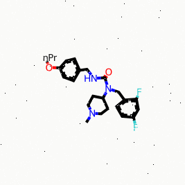 CCCOc1ccc(CNC(=O)N(Cc2ccc(F)cc2F)C2CCN(C)CC2)cc1